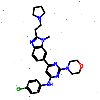 Cn1c(CCN2CCCC2)nc2ccc(-c3cc(Nc4ccc(Cl)cc4)nc(N4CCOCC4)n3)cc21